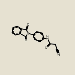 N#CCC(=O)Nc1ccc(N2C(=O)c3ccccc3C2=O)cc1